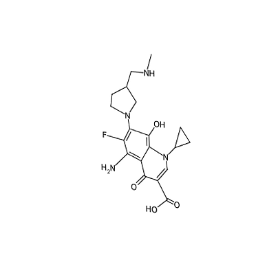 CNCC1CCN(c2c(F)c(N)c3c(=O)c(C(=O)O)cn(C4CC4)c3c2O)C1